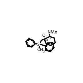 CN[C@H]1CCCC[C@@]1(O)C[Si](C)(c1ccccc1)c1ccccc1